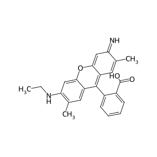 CCNc1cc2oc3cc(=N)c(C)cc-3c(-c3ccccc3C(=O)O)c2cc1C